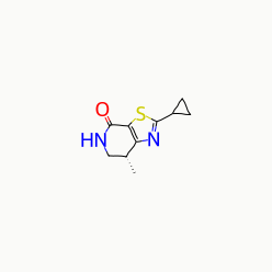 C[C@@H]1CNC(=O)c2sc(C3CC3)nc21